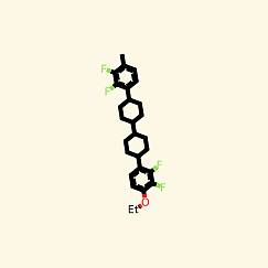 CCOc1ccc(C2CCC(C3CCC(c4ccc(C)c(F)c4F)CC3)CC2)c(F)c1F